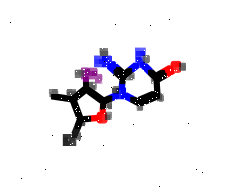 CCC1OC(n2ccc(=O)[nH]c2=N)C(P)C1C